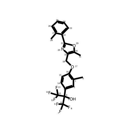 Cc1cc(C(O)(C(F)(F)F)C(F)(F)F)ccc1OCc1nc(-c2ccccc2C)oc1C